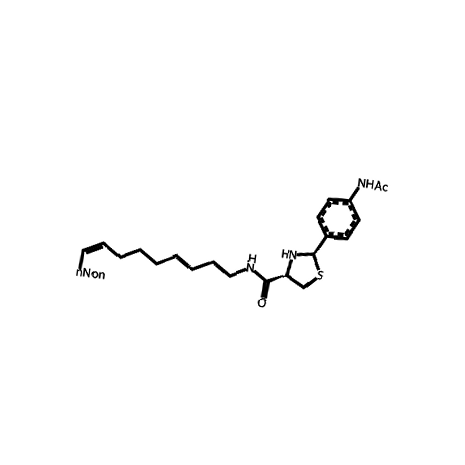 CCCCCCCCC/C=C\CCCCCCCNC(=O)[C@@H]1CSC(c2ccc(NC(C)=O)cc2)N1